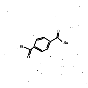 CCC(=O)c1ccc(C(=O)C(C)(C)C)cc1